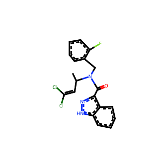 CC(C=C(Cl)Cl)N(Cc1ccccc1F)C(=O)c1n[nH]c2ccccc12